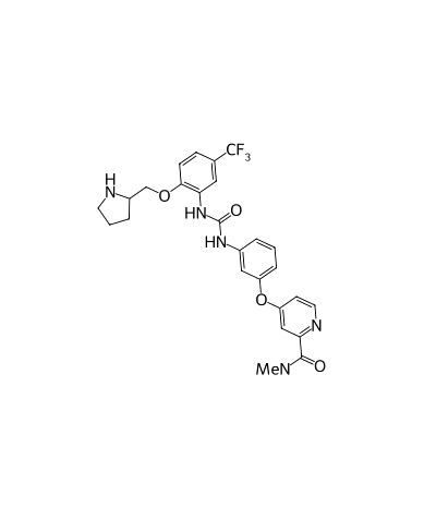 CNC(=O)c1cc(Oc2cccc(NC(=O)Nc3cc(C(F)(F)F)ccc3OCC3CCCN3)c2)ccn1